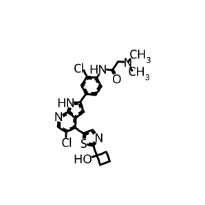 CN(C)CC(=O)Nc1ccc(-c2cc3c(-c4cnc(C5(O)CCC5)s4)c(Cl)cnc3[nH]2)cc1Cl